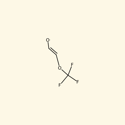 [O]C=COC(F)(F)F